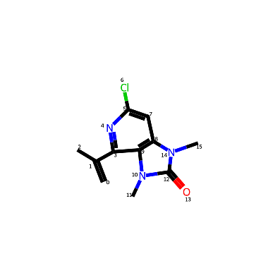 C=C(C)c1nc(Cl)cc2c1n(C)c(=O)n2C